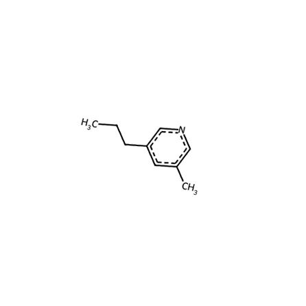 CCCc1cncc(C)c1